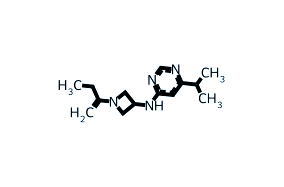 C=C(CC)N1CC(Nc2cc(C(C)C)ncn2)C1